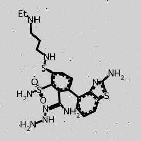 CCNCCCNSc1ccc(-c2cccc3sc(N)nc23)c(/C(N)=N/NN)c1S(N)(=O)=O